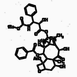 CC(=O)OC12COC1C[C@H](O)[C@@]1(C)C(=O)[C@H](O)C3=C(C)C(OC(=O)[C@H](O)C(NC(=O)OC(C)(C)C)c4ccccc4)C[C@@](O)(C(OC(=O)c4ccccc4)C21)C3(C)C